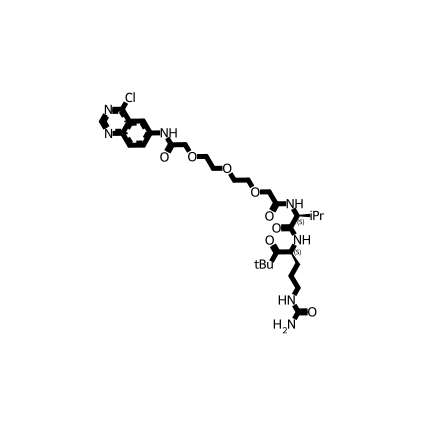 CC(C)[C@H](NC(=O)COCCOCCOCC(=O)Nc1ccc2ncnc(Cl)c2c1)C(=O)N[C@@H](CCCNC(N)=O)C(=O)C(C)(C)C